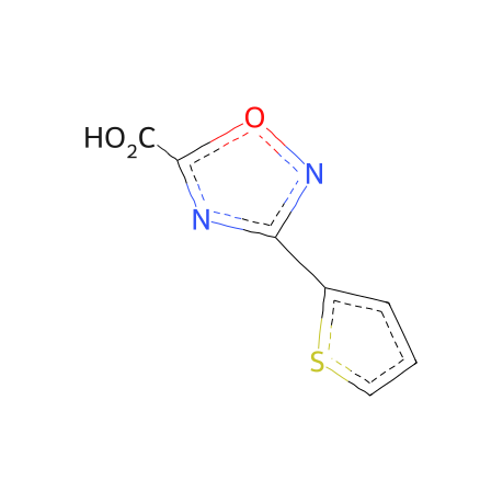 O=C(O)c1nc(-c2cccs2)no1